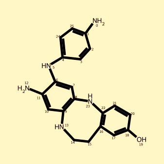 Nc1ccc(Nc2cc3c(cc2N)NCCc2cc(O)ccc2N3)cc1